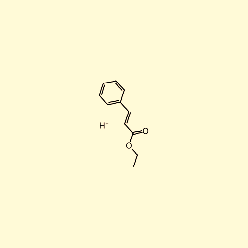 CCOC(=O)/C=C/c1ccccc1.[H+]